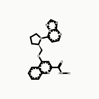 CCNC(=O)c1cc(OC[C@H]2CCCN2c2ccnc3ncnn23)c2ccccc2n1